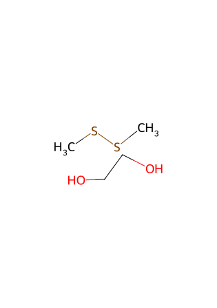 CSSC.OCCO